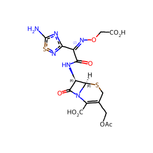 CC(=O)OCC1=C(C(=O)O)N2C(=O)[C@@H](NC(=O)/C(=N\OCC(=O)O)c3nsc(N)n3)[C@H]2SC1